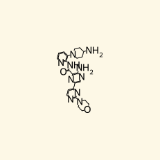 Nc1ncc(-c2ccnc(N3CCOCC3)n2)nc1C(=O)Nc1ncccc1N1CCC(N)CC1